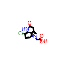 O=C(O)Cn1cc2c3c(c(Cl)ccc31)NC(=O)C2